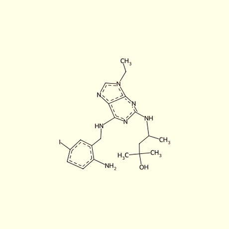 CCn1cnc2c(NCc3cc(I)ccc3N)nc(NC(C)CC(C)(C)O)nc21